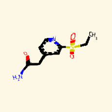 CCS(=O)(=O)c1cc(CC(N)=O)ccn1